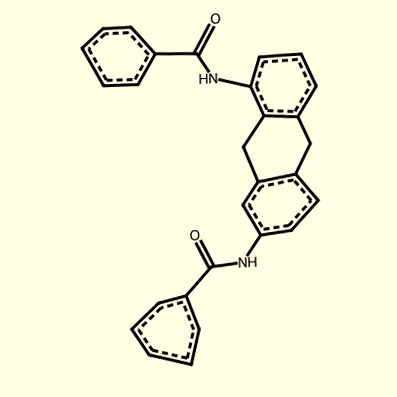 O=C(Nc1ccc2c(c1)Cc1c(cccc1NC(=O)c1ccccc1)C2)c1ccccc1